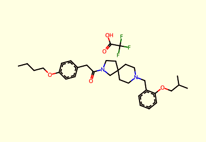 CCCCOc1ccc(CC(=O)N2CCC3(CCN(Cc4ccccc4OCC(C)C)CC3)C2)cc1.O=C(O)C(F)(F)F